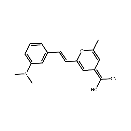 CC1=CC(=C(C#N)C#N)C=C(C=Cc2cccc(N(C)C)c2)O1